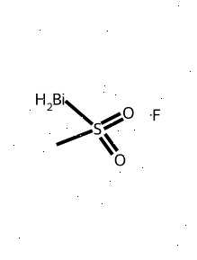 C[S](=O)(=O)[BiH2].[F]